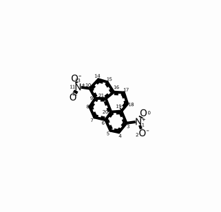 O=[N+]([O-])c1ccc2ccc3c([N+](=O)[O-])ccc4ccc1c2c43